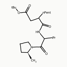 CCCCCC(CC(=O)OC(C)(C)C)C(=O)NC(C(=O)N1CCC[C@@H]1C)C(C)C